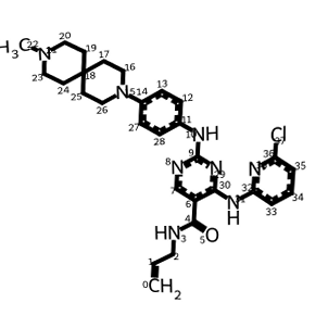 C=CCNC(=O)c1cnc(Nc2ccc(N3CCC4(CCN(C)CC4)CC3)cc2)nc1Nc1cccc(Cl)n1